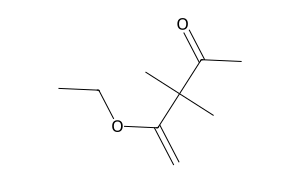 C=C(OCC)C(C)(C)C(C)=O